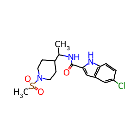 CC(NC(=O)c1cc2cc(Cl)ccc2[nH]1)C1CCN(S(C)(=O)=O)CC1